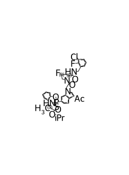 CC(=O)c1cn(CC(=O)N2C[C@H](F)C[C@H]2C(=O)NCc2cccc(Cl)c2F)c2cc(P(=S)(N[C@@H](C)C(=O)OC(C)C)Oc3ccccc3)ccc12